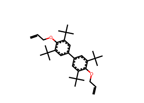 C=CCOc1c(C(C)(C)C)cc(-c2cc(C(C)(C)C)c(OCC=C)c(C(C)(C)C)c2)cc1C(C)(C)C